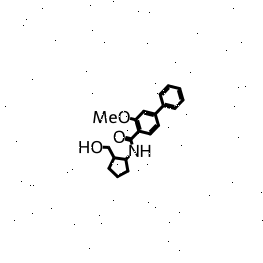 COc1cc(-c2ccccc2)ccc1C(=O)NC1CCCC1CO